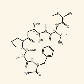 CC[C@H](C)[C@@H]([C@@H](CC(=O)N1CCC[C@H]1[C@H](OC)[C@@H](C)C(=O)N[C@@H](Cc1ccccc1)C(N)=O)OC)N(C)C(=O)[C@@H](NC(=O)[C@H](C(C)C)N(C)C)[C@H](C)N